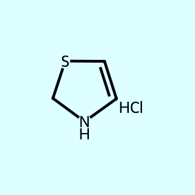 C1=CSCN1.Cl